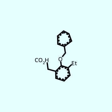 CCc1cccc(CC(=O)O)c1OCc1ccccc1